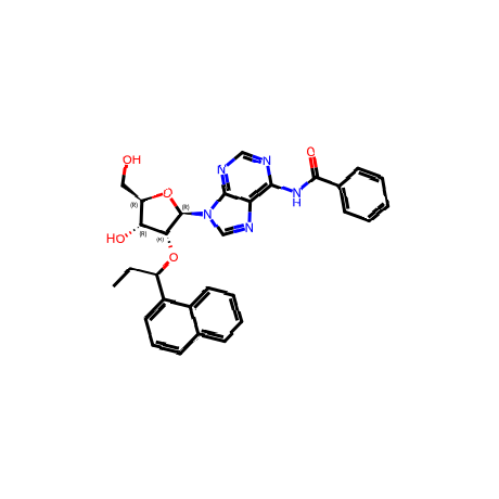 CCC(O[C@@H]1[C@H](O)[C@@H](CO)O[C@H]1n1cnc2c(NC(=O)c3ccccc3)ncnc21)c1cccc2ccccc12